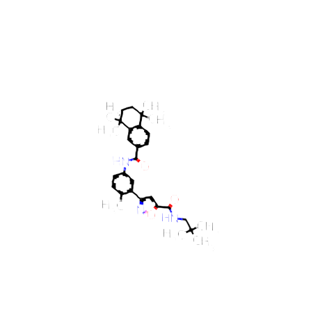 Cc1ccc(NC(=O)c2ccc3c(c2)C(C)(C)CCC3(C)C)cc1-c1cc(C(=O)NCC(C)(C)C)on1